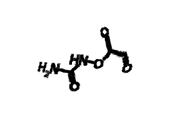 NC(=O)NOC(=O)C=O